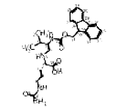 CC(C)C(CN[C@@H](CCCNC(N)=O)C(=O)O)NC(=O)OCC1c2ccccc2-c2ccccc21